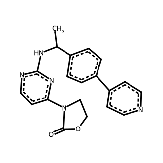 CC(Nc1nccc(N2CCOC2=O)n1)c1ccc(-c2ccncc2)cc1